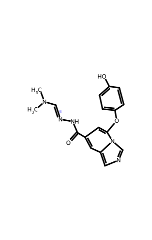 CN(C)/C=N/NC(=O)c1cc(Oc2ccc(O)cc2)n2cncc2c1